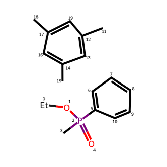 CCOP(C)(=O)c1ccccc1.Cc1cc(C)cc(C)c1